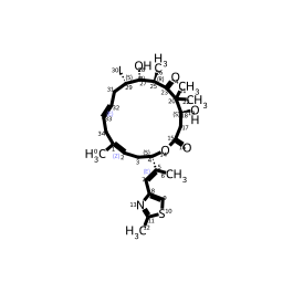 C/C1=C/C[C@@H](/C(C)=C/c2csc(C)n2)OC(=O)C[C@H](O)C(C)(C)C(=O)[C@H](C)[C@@H](O)[C@@H](I)C/C=C/C1